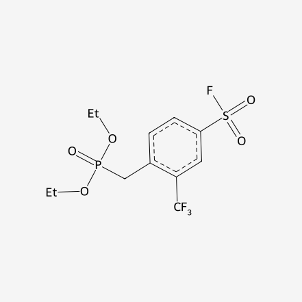 CCOP(=O)(Cc1ccc(S(=O)(=O)F)cc1C(F)(F)F)OCC